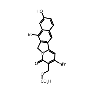 CCCc1cc2n(c(=O)c1COC(=O)O)Cc1c-2cc2ccc(O)cc2c1CC